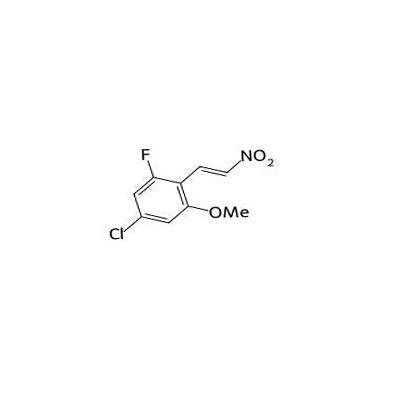 COc1cc(Cl)cc(F)c1C=C[N+](=O)[O-]